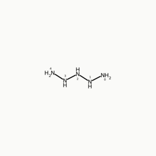 NNNNN